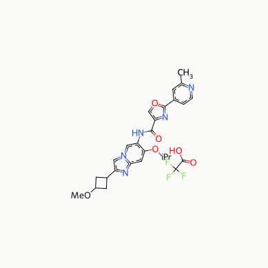 COC1CC(c2cn3cc(NC(=O)c4coc(-c5ccnc(C)c5)n4)c(OC(C)C)cc3n2)C1.O=C(O)C(F)(F)F